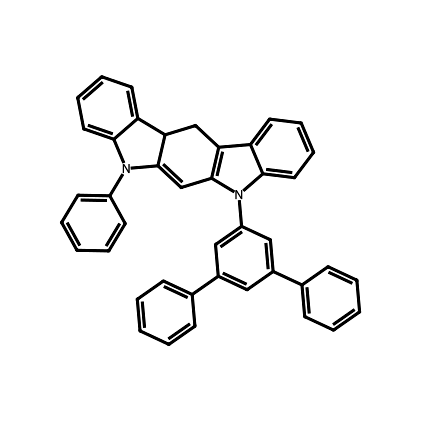 C1=C2C(Cc3c1n(-c1cc(-c4ccccc4)cc(-c4ccccc4)c1)c1ccccc31)c1ccccc1N2c1ccccc1